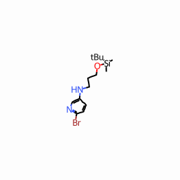 CC(C)(C)[Si](C)(C)OCCCNc1ccc(Br)nc1